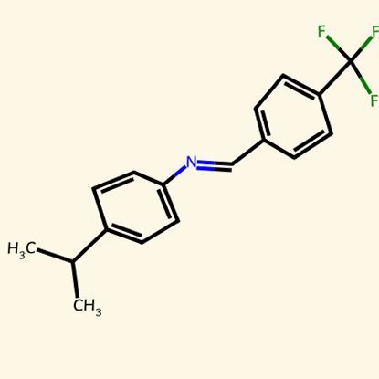 CC(C)c1ccc(N=Cc2ccc(C(F)(F)F)cc2)cc1